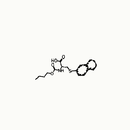 CCCCOC(=O)NC(CSc1ccc2ccccc2c1)C(=O)O